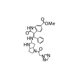 COC(=O)c1ccc2c(c1)NC(=O)/C2=C(\NC1CC2C(CCN2C(=O)Cn2cncn2)N1)c1ccccc1